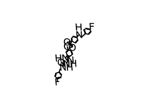 O=C(NCc1ccc(F)cc1)Nc1nc2ccc(OS(=O)(=O)c3ccc(NCc4ccc(F)cc4)cc3)cc2[nH]1